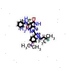 CI(C)c1ccc2c(-c3nc(N)c4c(n3)NC(=O)C4(C)C(=O)Nc3ccccc3)nn(CCC(C)(F)C(F)(F)F)c2c1